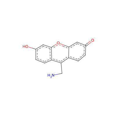 NCc1c2ccc(=O)cc-2oc2cc(O)ccc12